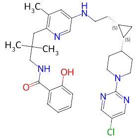 Cc1cc(NCC[C@@H]2C[C@@H]2C2CCN(c3ncc(Cl)cn3)CC2)cnc1CC(C)(C)CNC(=O)c1ccccc1O